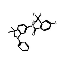 CC1(C)CB(c2ccccc2)c2cc(NC(=O)c3ccc(F)cc3C(F)(F)F)ccc21